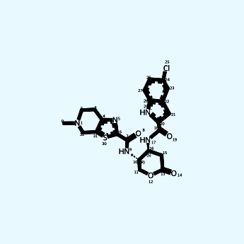 CN1CCc2nc(C(=O)N[C@H]3COC(=O)C[C@@H]3NC(=O)c3cc4cc(Cl)ccc4[nH]3)sc2C1